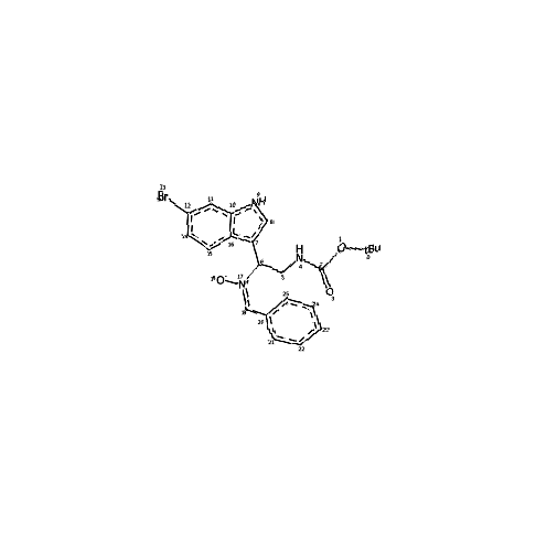 CC(C)(C)OC(=O)NCC(c1c[nH]c2cc(Br)ccc12)/[N+]([O-])=C\c1ccccc1